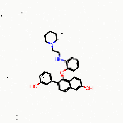 Oc1cccc(-c2ccc3cc(O)ccc3c2Oc2ccccc2NCCN2CCCCC2)c1